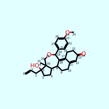 C=CCC1(O)CCC2C3CCC4=CC(=O)CCC4=C3C(c3ccc(OC)cc3)OCC21C